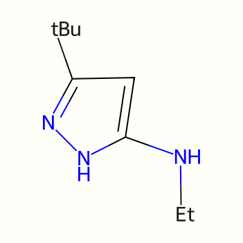 CCNc1cc(C(C)(C)C)n[nH]1